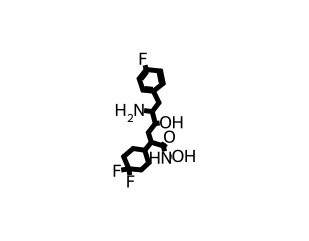 NC(Cc1ccc(F)cc1)C(O)CC(C(=O)NO)C1CCC(F)(F)CC1